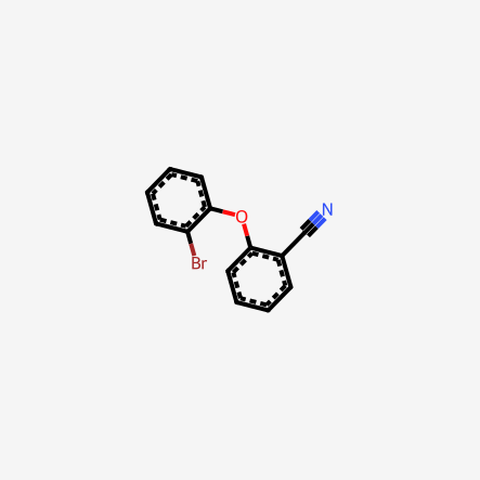 N#Cc1ccccc1Oc1ccccc1Br